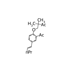 CCCC=Cc1ccc(OCC(C)(C)C(C)=O)c(C(C)=O)c1